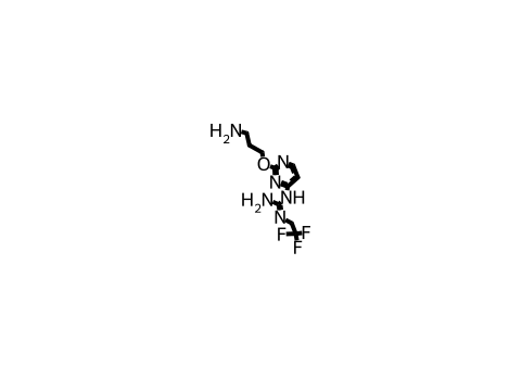 NCCCOc1nccc(N/C(N)=N\CC(F)(F)F)n1